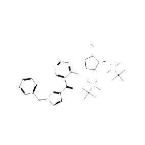 CC(C)(C)[Si](C)(C)O[C@@H]1[C@@H](CO)C[C@@H](Nc2ncncc2C(=O)c2ccn(Cc3ccccc3)n2)[C@H]1O[Si](C)(C)C(C)(C)C